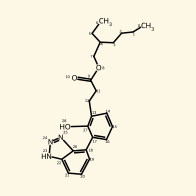 CCCCC(CC)COC(=O)CCc1cccc(-c2cccc3[nH]nnc23)c1O